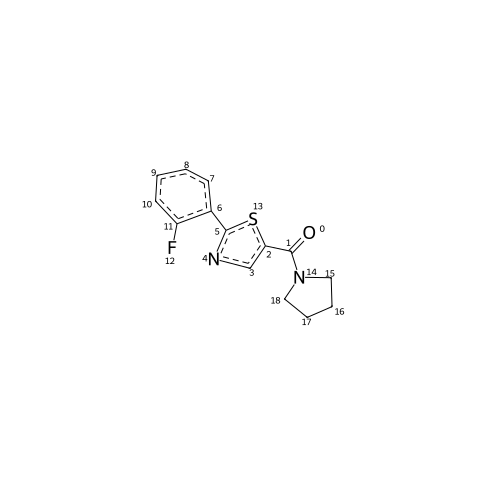 O=C(c1cnc(-c2ccccc2F)s1)N1CCCC1